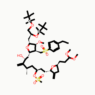 C=C1C[C@H](CCC(OC)OC)O[C@H]1CC[C@H](C[C@H](C)C(=C)[C@H](O)C[C@@H]1O[C@H](C[C@@H](CO[Si](C)(C)C(C)(C)C)O[Si](C)(C)C(C)(C)C)[C@H](OC)[C@H]1CS(=O)(=O)c1ccc(CC)cc1)OS(C)(=O)=O